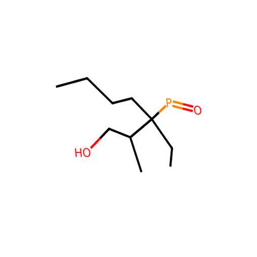 CCCCC(CC)(P=O)C(C)CO